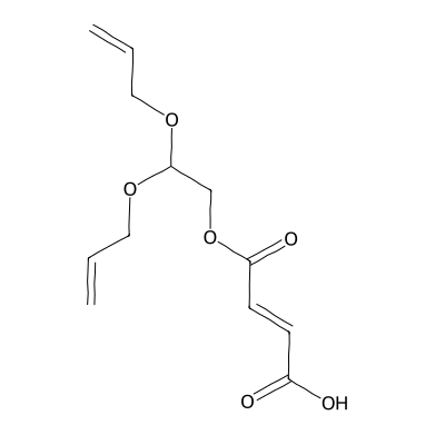 C=CCOC(COC(=O)C=CC(=O)O)OCC=C